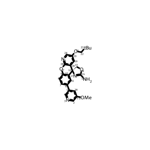 COc1cncc(-c2ccc3c(c2)[C@@]2(COC(N)=N2)c2cc(OCC(C)(C)C)cnc2O3)c1